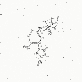 Cc1ccc(NC(=O)N2C3CC(C)CC2C3)cc1-n1ncc(C#N)n1